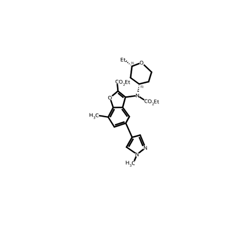 CCOC(=O)c1oc2c(C)cc(-c3cnn(C)c3)cc2c1N(C(=O)OCC)[C@H]1CCO[C@@H](CC)C1